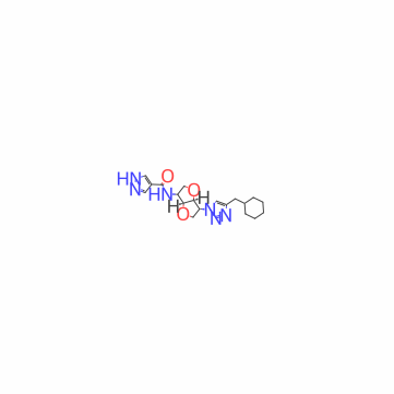 O=C(N[C@H]1CO[C@H]2[C@@H]1OC[C@@H]2n1cc(CC2CCCCC2)nn1)c1cn[nH]c1